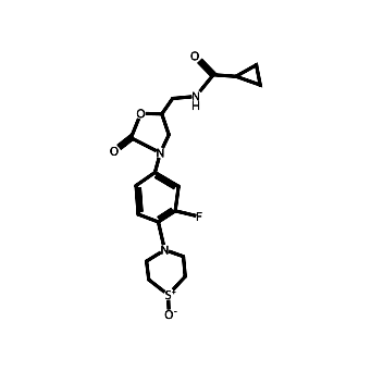 O=C(NCC1CN(c2ccc(N3CC[S+]([O-])CC3)c(F)c2)C(=O)O1)C1CC1